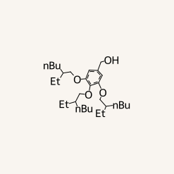 CCCCC(CC)COc1cc(CO)cc(OCC(CC)CCCC)c1OCC(CC)CCCC